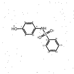 O=S(=O)(Nc1ccc(O)cc1)c1ccccc1